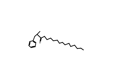 CCCCCCCCCCCCCCC(=O)C(C)Cc1ccccc1